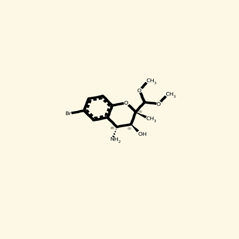 COC(OC)[C@@]1(C)Oc2ccc(Br)cc2[C@@H](N)[C@@H]1O